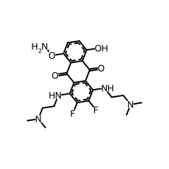 CN(C)CCNc1c(F)c(F)c(NCCN(C)C)c2c1C(=O)c1c(O)ccc(ON)c1C2=O